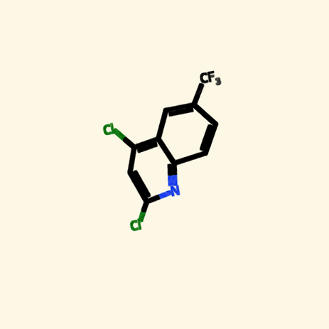 FC(F)(F)c1ccc2nc(Cl)cc(Cl)c2c1